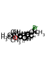 CC(C)[Si](Oc1ccc2c(c1)CC[C@@H]1[C@@H]2CC[C@]2(C)[C@@H]([C@H](C)CBr)CC[C@@H]12)(C(C)C)C(C)C